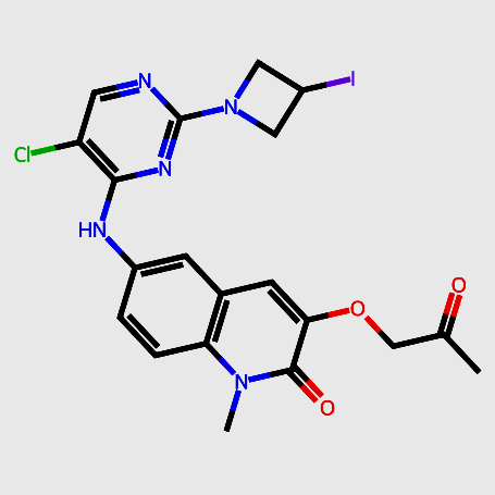 CC(=O)COc1cc2cc(Nc3nc(N4CC(I)C4)ncc3Cl)ccc2n(C)c1=O